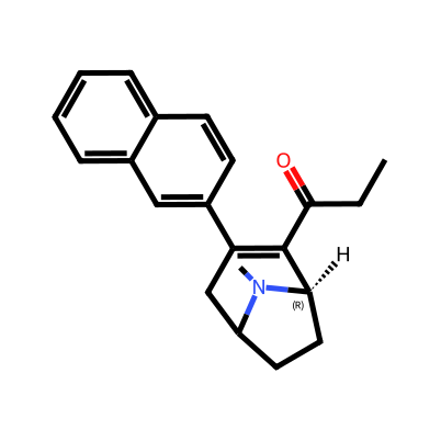 CCC(=O)C1=C(c2ccc3ccccc3c2)CC2CC[C@H]1N2C